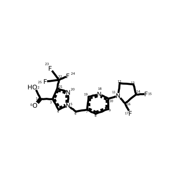 O=C(O)c1cn(Cc2ccc(N3CCC(F)C3F)nc2)nc1C(F)(F)F